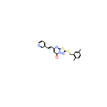 Cc1ccc(C)c(CSc2nn3c(=O)cc(/C=C/c4cccnc4)nc3s2)c1